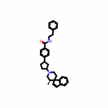 C[C@H]1CN(C2CCC(c3ccc(C(=O)NCCc4ccccc4)cc3)C2)CCC12C=Cc1ccccc12